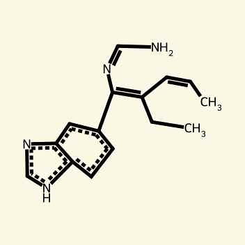 C\C=C/C(CC)=C(\N=C/N)c1ccc2[nH]cnc2c1